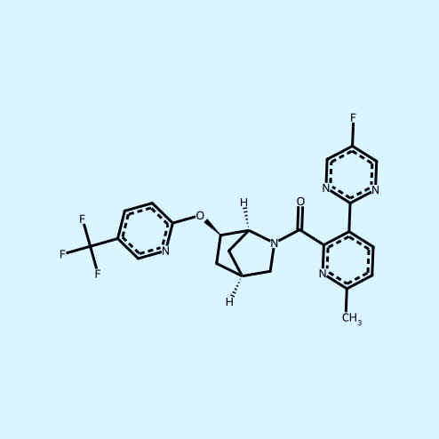 Cc1ccc(-c2ncc(F)cn2)c(C(=O)N2C[C@H]3C[C@@H](Oc4ccc(C(F)(F)F)cn4)[C@@H]2C3)n1